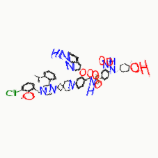 COc1c(Cl)cccc1CN1CCN(C2CC3(CCN(c4ccc(C(=O)NS(=O)(=O)c5ccc(NC[C@H]6CC[C@](C)(O)CC6)c([N+](=O)[O-])c5)c(Oc5cnc6[nH]ccc6c5)c4)CC3)C2)C(c2ccccc2C(C)C)C1